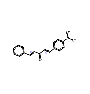 CCN(CC)c1ccc(/C=C/C(=O)/C=C/c2ccccc2)cc1